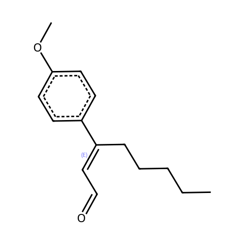 CCCCC/C(=C\C=O)c1ccc(OC)cc1